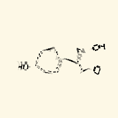 O=[C]C(=NO)c1ccc(O)cc1